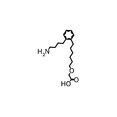 NCCCCc1ccccc1CCCCCCOCC(=O)O